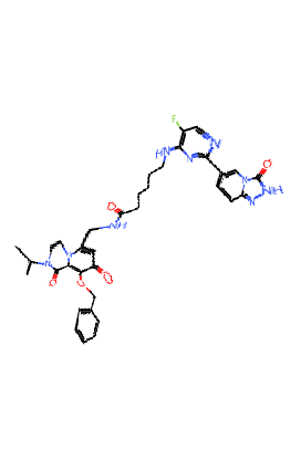 CC(C)N1CCn2c(CNC(=O)CCCCCNc3nc(-c4ccc5n[nH]c(=O)n5c4)ncc3F)cc(=O)c(OCc3ccccc3)c2C1=O